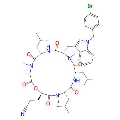 CC(C)C[C@@H]1NC(=O)[C@H](Cc2cn(Cc3ccc(Br)cc3)c3ccccc23)N(C)C(=O)[C@H](CC(C)C)NC(=O)[C@H](CC(C)C)N(C)C(=O)[C@@H](CCC#N)OC(=O)[C@H](C)N(C)C1=O